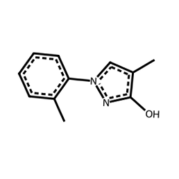 Cc1ccccc1-n1cc(C)c(O)n1